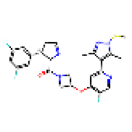 CSn1nc(C)c(-c2cc(OC3CN(C(=O)C4N=CC[C@H]4c4cc(F)cc(F)c4)C3)c(F)cn2)c1C